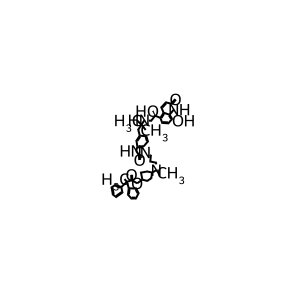 CN(CCCn1c(=O)[nH]c2cc(CC(C)(C)NC[C@@H](O)c3ccc(O)c4[nH]c(=O)ccc34)ccc21)C1CCC(OC(=O)C(C)(c2ccccc2)c2ccccc2)CC1